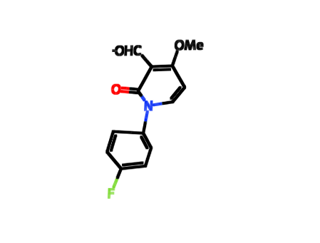 COc1ccn(-c2ccc(F)cc2)c(=O)c1[C]=O